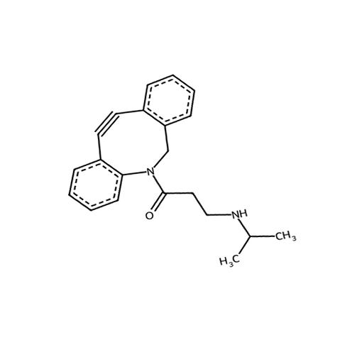 CC(C)NCCC(=O)N1Cc2ccccc2C#Cc2ccccc21